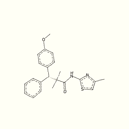 COc1ccc([C@@H](c2ccccc2)C(C)(C)C(=O)Nc2nc(C)cs2)cc1